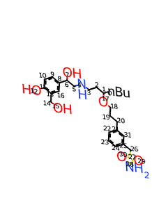 CCCCC(CCNCC(O)c1ccc(O)c(CO)c1)OCCCc1cccc(CS(N)(=O)=O)c1